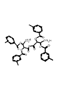 Cc1cccc(C(=O)OC(C(=O)O)C(OC(=O)c2cccc(C)c2)C(=O)OC(=O)C(OC(=O)c2cccc(C)c2)C(OC(=O)c2cccc(C)c2)C(=O)O)c1